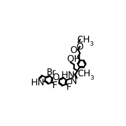 CCOC(=O)CCc1cccc(C(C)(CCCO)c2cnc(-c3cc(Oc4c(F)cc5[nH]ccc5c4Br)ccc3F)[nH]2)c1